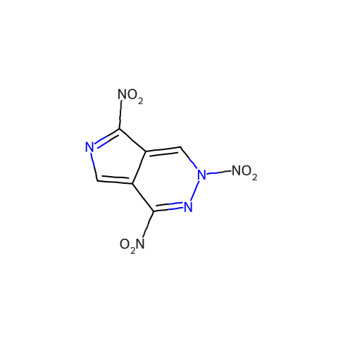 O=[N+]([O-])c1ncc2c([N+](=O)[O-])nn([N+](=O)[O-])cc1-2